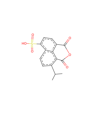 CC(C)c1ccc2c(S(=O)(=O)O)ccc3c2c1C(=O)OC3=O